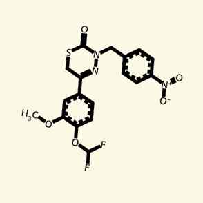 COc1cc(C2=NN(Cc3ccc([N+](=O)[O-])cc3)C(=O)SC2)ccc1OC(F)F